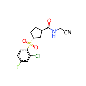 N#CCNC(=O)[C@@H]1CC[C@@H](S(=O)(=O)c2ccc(F)cc2Cl)C1